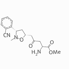 COC(=O)C(N)CC(=O)C[C@H]1C[C@@H](c2ccccc2C#N)N(C)O1